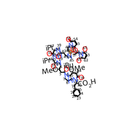 CC[C@H](C)[C@@H]([C@@H](CC(=O)N1CCC[C@H]1[C@H](OC)[C@@H](C)C(=O)N[C@@H](Cc1ccccc1)C(=O)O)OC)N(C)C(=O)[C@@H](NC(=O)[C@H](C(C)C)N(C)C(=O)CCN(C)P(=O)(CCN1C(=O)C=CC1=O)CCN1C(=O)C=CC1=O)C(C)C